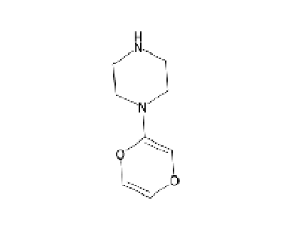 C1=COC(N2CCNCC2)=CO1